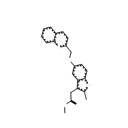 COC(=O)Cc1c(C)[nH]c2ccc(OCc3ccc4ccccc4n3)cc12